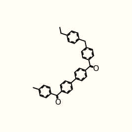 CCc1ccc(Cc2ccc(C(=O)c3ccc(-c4ccc(C(=O)c5ccc(C)cc5)cc4)cc3)cc2)cc1